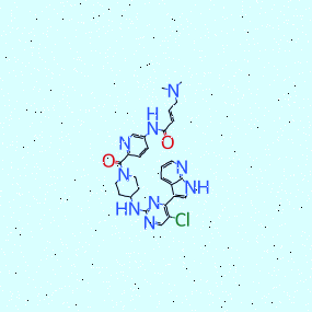 CN(C)C/C=C/C(=O)Nc1ccc(C(=O)N2CCC(Nc3ncc(Cl)c(-c4c[nH]c5ncccc45)n3)CC2)nc1